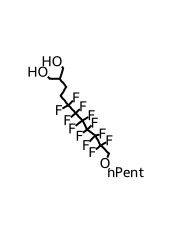 CCCCCOCC(F)(F)C(F)(F)C(F)(F)C(F)(F)C(F)(F)C(F)(F)CCC(CO)CO